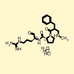 CNCC(Cc1ccccc1)C(=O)N1CCC[C@H]1C(=O)N[C@H](C=O)CCCNC(=N)N.Cl.Cl.O